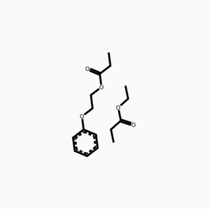 CCC(=O)OCCOc1ccccc1.CCOC(=O)CC